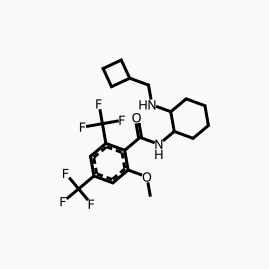 COc1cc(C(F)(F)F)cc(C(F)(F)F)c1C(=O)NC1CCCCC1NCC1CCC1